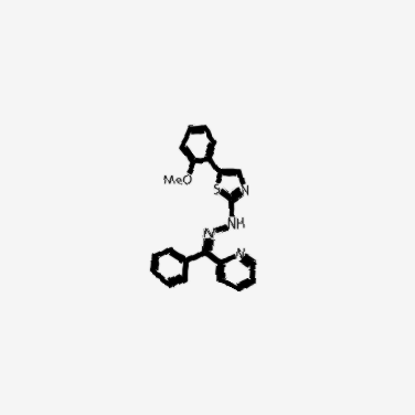 COc1ccccc1-c1cnc(NN=C(c2ccccc2)c2ccccn2)s1